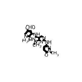 Cc1ncc(C=O)cc1NC1NN(C)c2nc(Nc3ccc(=O)n(C)n3)ncc21